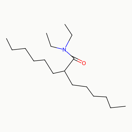 CCCCCCC(CCCCCC)C(=O)N(CC)CC